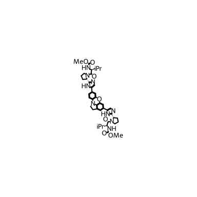 COC(=O)N[C@H](C(=O)N1CCC[C@H]1c1ncc(-c2ccc3c(c2)Oc2cc(-c4cnc([C@@H]5CCCN5C(=O)[C@@H](NC(=O)OC)C(C)C)[nH]4)cc4c2N3CC4)[nH]1)C(C)C